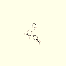 O=C(Oc1ccccc1)n1c(C(F)(F)F)nc2cc(C(F)(F)F)ccc21